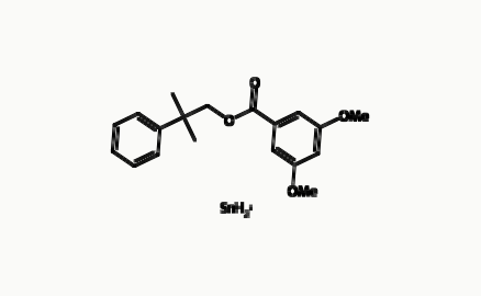 COc1cc(OC)cc(C(=O)OCC(C)(C)c2ccccc2)c1.[SnH2]